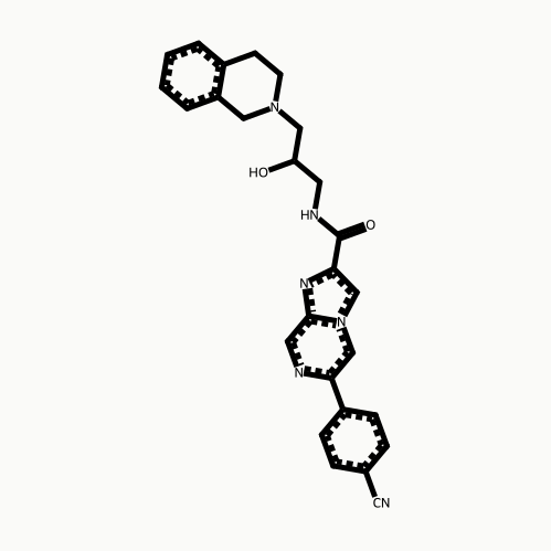 N#Cc1ccc(-c2cn3cc(C(=O)NCC(O)CN4CCc5ccccc5C4)nc3cn2)cc1